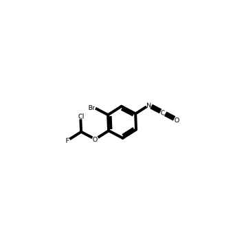 O=C=Nc1ccc(OC(F)Cl)c(Br)c1